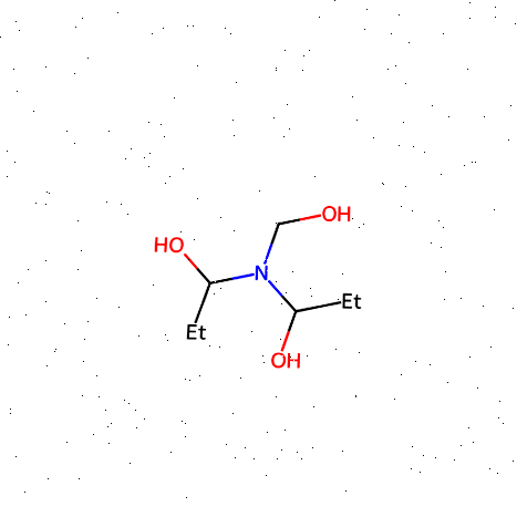 CCC(O)N(CO)C(O)CC